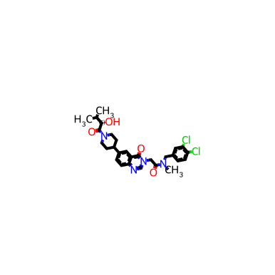 CC(C)[C@H](O)C(=O)N1CCC(c2ccc3ncn(CC(=O)N(C)Cc4ccc(Cl)c(Cl)c4)c(=O)c3c2)CC1